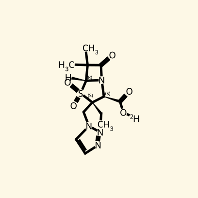 [2H]OC(=O)[C@@H]1N2C(=O)C(C)(C)[C@H]2S(=O)(=O)[C@@]1(CC)Cn1ccnn1